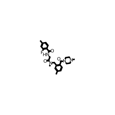 Cc1ccc(C(=O)NCC(=O)N(C)Cc2cc(C)ccc2C(=O)N2CCN(C)CC2)c(F)c1